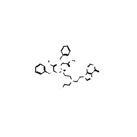 CCCOC(=O)[C@H](Cc1ccccc1)NP(=O)(CCN(CCC#N)CCn1cnc2c(=O)[nH]cnc21)N[C@@H](Cc1ccccc1)C(=O)OCCC